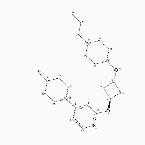 CCCN1CCC(O[C@H]2C[C@H](Oc3cc(N4CCC(C)CC4)ccn3)C2)CC1